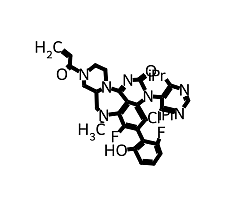 C=CC(=O)N1CCN2c3nc(=O)n(-c4c(C(C)C)ncnc4C(C)C)c4c(Cl)c(-c5c(O)cccc5F)c(F)c(c34)N(C)CC2C1